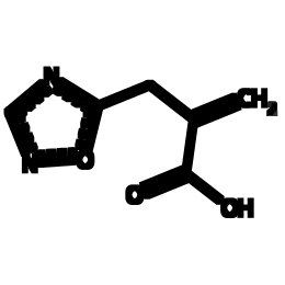 C=C(Cc1ncno1)C(=O)O